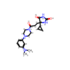 CN(C)c1cccc(N2CCN(C(=O)CCC3(C4CC4)NC(=O)NC3=O)CC2)c1